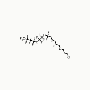 F[C@@H](COCCCCl)COCC(F)(F)OC(F)(F)C(F)(F)OC(F)(F)C(F)(F)C(F)(F)C(F)(F)F